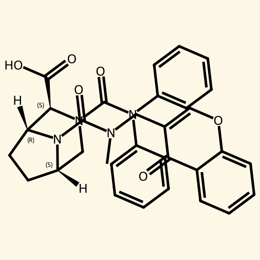 CN(Cc1coc2ccccc2c1=O)C(=O)N1[C@H]2CC[C@@H]1[C@@H](C(=O)O)N(C(=O)N(c1ccccc1)c1ccccc1)C2